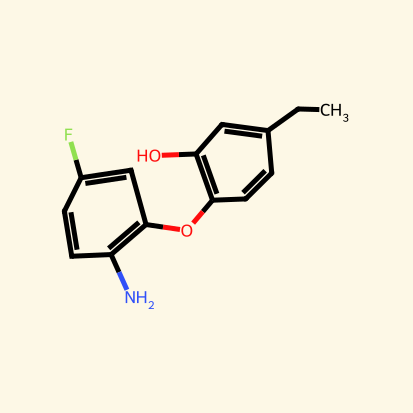 CCc1ccc(Oc2cc(F)ccc2N)c(O)c1